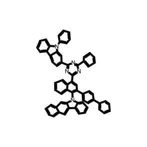 c1ccc(-c2ccc(-c3cc(-c4nc(-c5ccccc5)nc(-c5ccc6c7ccccc7n(-c7ccccc7)c6c5)n4)c4ccccc4c3-n3c4ccccc4c4cc5ccccc5cc43)cc2)cc1